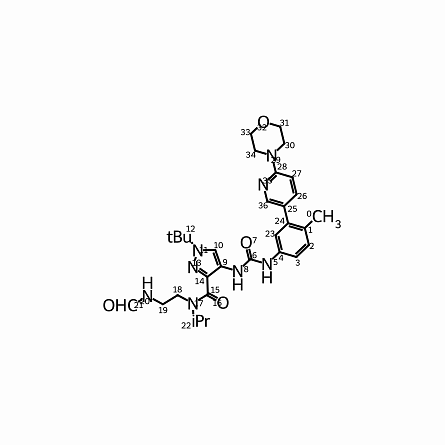 Cc1ccc(NC(=O)Nc2cn(C(C)(C)C)nc2C(=O)N(CCNC=O)C(C)C)cc1-c1ccc(N2CCOCC2)nc1